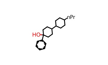 CCCC1CCC(C2CCC(O)(c3ccccc3)CC2)CC1